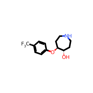 O[C@H]1CCNCC[C@@H]1Oc1ccc(C(F)(F)F)cc1